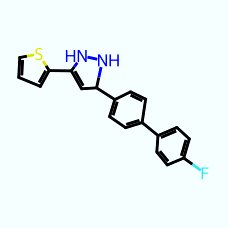 Fc1ccc(-c2ccc(C3C=C(c4cccs4)NN3)cc2)cc1